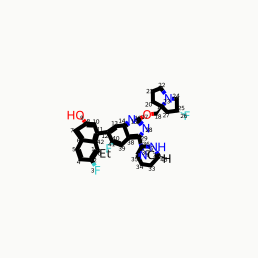 CCc1c(F)ccc2cc(O)cc(-c3cc4nc(OC[C@@]56CCCN5C[C@H](F)C6)nc(N5C[C@@H]6CCC5CN6)c4cc3F)c12